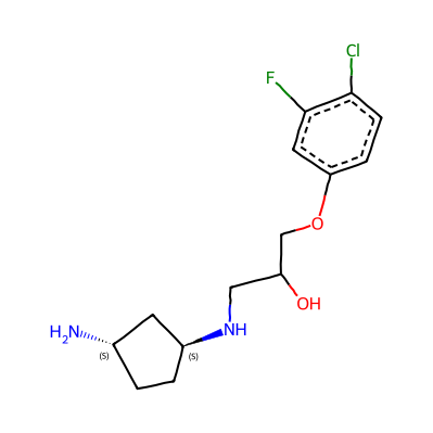 N[C@H]1CC[C@H](NCC(O)COc2ccc(Cl)c(F)c2)C1